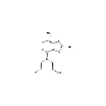 Nc1nc2c(N)ccc(N(CCO)CCO)c2s1